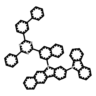 c1ccc(-c2cccc(-c3nc(-c4ccccc4)nc(-c4cc(-n5c6cc(-n7c8ccccc8c8ccccc87)ccc6c6cc7ccccc7cc65)c5ccccc5c4)n3)c2)cc1